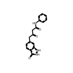 O=C(CC(=O)Nc1ccccc1)Cc1ccc2c(=O)[nH][nH]c2c1